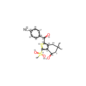 CC1(C)CC(=O)c2c(S(C)(=O)=O)sc(C(=O)c3ccc(C#N)cc3)c2C1